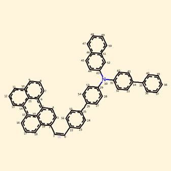 C(=C/c1ccc2c3cccc4cccc(c5cccc1c52)c43)/c1ccc(-c2ccc(N(c3ccc(-c4ccccc4)cc3)c3ccc4ccccc4c3)cc2)cc1